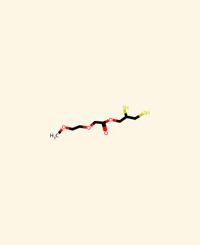 COCCOCC(=O)OCC(S)CS